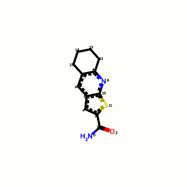 NC(=O)c1cc2cc3c(nc2s1)CCCC3